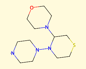 C1CN(N2CCSCC2N2CCOCC2)CC[N]1